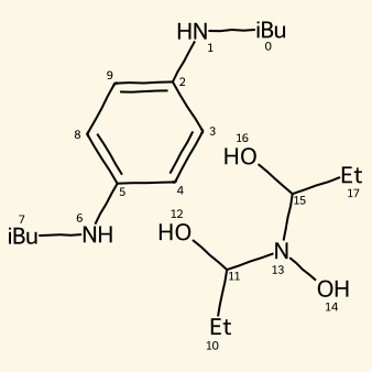 CCC(C)Nc1ccc(NC(C)CC)cc1.CCC(O)N(O)C(O)CC